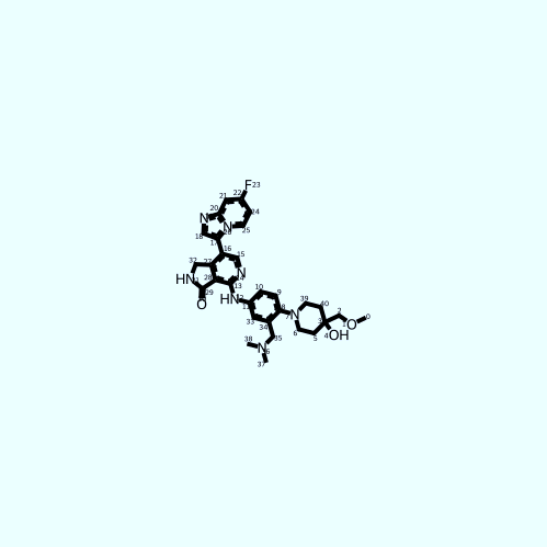 COCC1(O)CCN(c2ccc(Nc3ncc(-c4cnc5cc(F)ccn45)c4c3C(=O)NC4)cc2CN(C)C)CC1